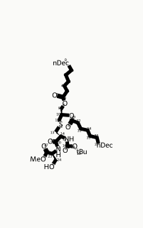 CCCCCCCCCCCCCCCC(=O)OC[C@H](CSC[C@H](NC(=O)OC(C)(C)C)C(=O)N[C@@H](CO)C(=O)OC)OC(=O)CCCCCCCCCCCCCCC